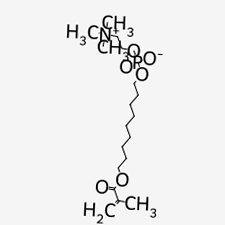 C=C(C)C(=O)OCCCCCCCCCOP(=O)([O-])OCC[N+](C)(C)C